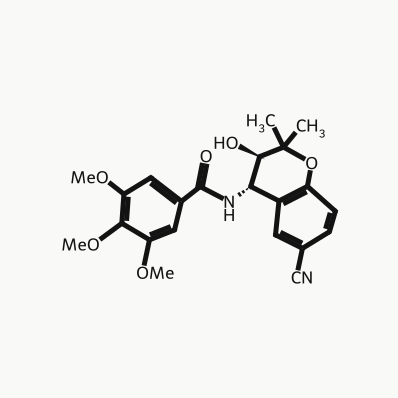 COc1cc(C(=O)N[C@H]2c3cc(C#N)ccc3OC(C)(C)[C@@H]2O)cc(OC)c1OC